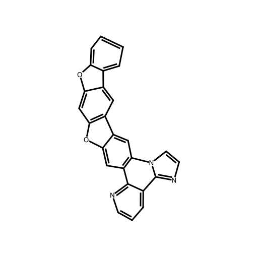 c1ccc2c(c1)oc1cc3oc4cc5c6ncccc6c6nccn6c5cc4c3cc12